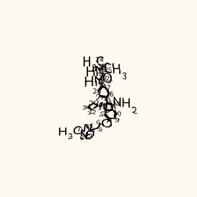 Cc1noc(CCOc2ccc3c(N)c(-c4ccc(NC(=O)NC(C)C)cc4)n(C4CCC4)c3c2)n1